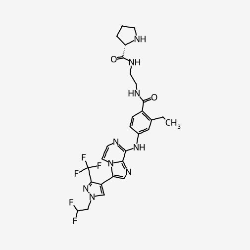 CCc1cc(Nc2nccn3c(-c4cn(CC(F)F)nc4C(F)(F)F)cnc23)ccc1C(=O)NCCNC(=O)[C@@H]1CCCN1